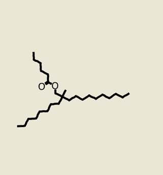 CCCCCCCCCCC(C)(CCCCCCCC)COC(=O)CCCCC